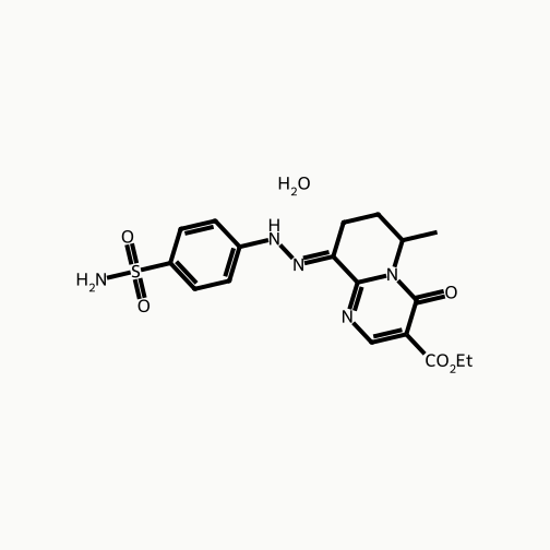 CCOC(=O)c1cnc2n(c1=O)C(C)CCC2=NNc1ccc(S(N)(=O)=O)cc1.O